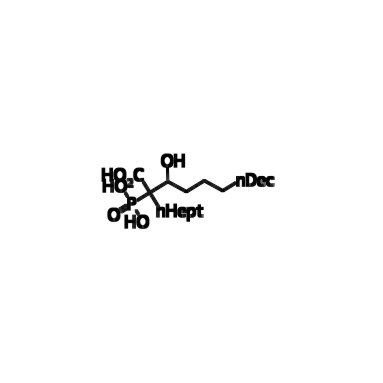 CCCCCCCCCCCCCC(O)C(CCCCCCC)(C(=O)O)P(=O)(O)O